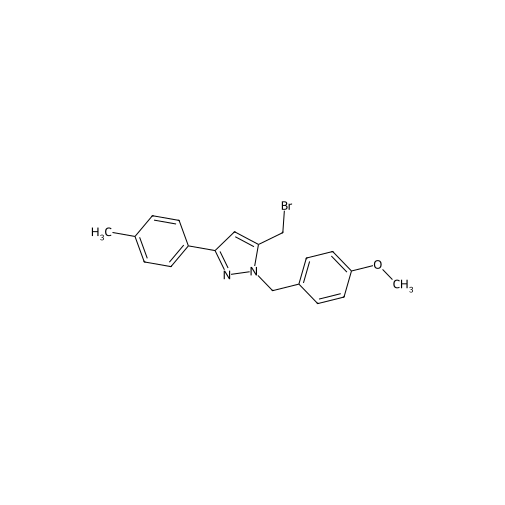 COc1ccc(Cn2nc(-c3ccc(C)cc3)cc2CBr)cc1